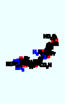 CC[C@H](CC[C@@]1(C)[C@H](C)CC[C@]2(C)[C@@H]1CC[C@@H]1C3=C(C(C)C)C(=O)C[C@]3(C(O)c3nnc(-c4ccc(C#N)c(CC(C)(CC(=O)O[C@H]5CC[C@]6(C)[C@H]7CC[C@@H]8C9=C(C(C)C)C(=O)C[C@]9([C@@H](O)c9nnc(-c%10ccc(C#N)cn%10)n9CCN)CC[C@@]8(C)[C@]7(C)CC[C@H]6C5(C)C)C(=O)O)c4)n3CCN)CC[C@]12C)OC(=O)CC(C)(C)C(=O)O